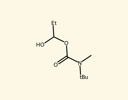 CCC(O)OC(=O)N(C)C(C)(C)C